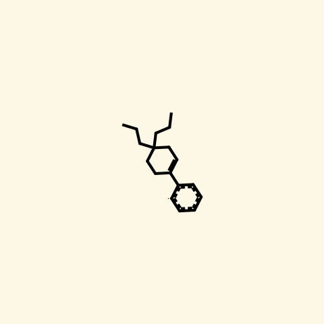 CCCC1(CCC)CC=C(c2[c]cccc2)CC1